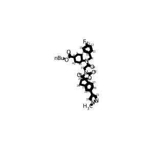 CCCCOC(=O)C1CCC(N(Cc2ccc(F)cc2)C(=O)CN2C(=O)OC3(CCc4cc(-c5cnn(C)c5)ccc43)C2=O)CC1